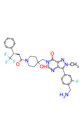 Cn1nc2c(=O)n(CC3(O)CCN(C(=O)C[C@H](c4ccccc4)C(F)(F)F)CC3)cnc2c1-c1ccc(CN)c(F)c1